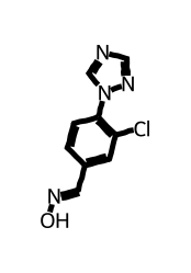 O/N=C/c1ccc(-n2cncn2)c(Cl)c1